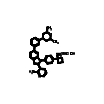 CC1CN(c2cccc(-c3ccc4nc(-c5cccnc5N)n(-c5ccc(C6(N)CCC6)cc5)c4n3)c2)CC(C)O1.Cl.Cl.Cl